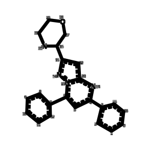 c1ccc(-c2cc(-c3ccccc3)n3nc(C4COCC[N]4)cc3n2)cc1